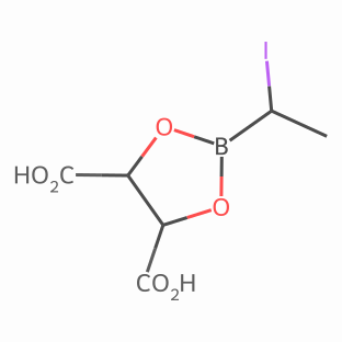 CC(I)B1OC(C(=O)O)C(C(=O)O)O1